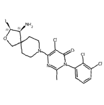 Cc1nc(N2CCC3(CC2)CO[C@@H](I)[C@H]3N)c(Cl)c(=O)n1-c1cccc(Cl)c1Cl